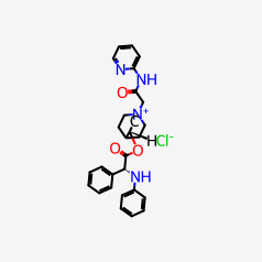 O=C(C[N+]12CCC(CC1)[C@@H](OC(=O)[C@H](Nc1ccccc1)c1ccccc1)C2)Nc1ccccn1.[Cl-]